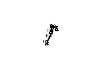 CCN(C(=O)Cn1c(C(=O)NC2CCC(C(=O)NCCCCCNC(=O)CCl)CC2)cc2sccc21)c1cccc(C)c1